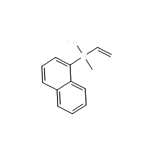 C=C[Si](C)(OC(C)=O)c1cccc2ccccc12